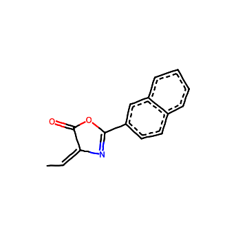 C/C=C1/N=C(c2ccc3ccccc3c2)OC1=O